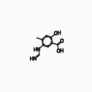 Cc1cc(O)c(C(=O)O)cc1NC=N